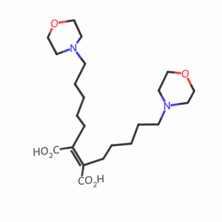 O=C(O)C(CCCCCN1CCOCC1)=C(CCCCCN1CCOCC1)C(=O)O